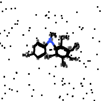 Cc1c(C)c(C)c(N(C)C2=CCC(C)C=C2)c(C)c1C